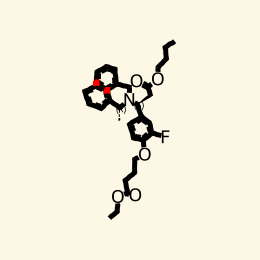 CCCCOC(=O)C[C@@H](c1ccc(OCCCC(=O)OCC)c(F)c1)N(Cc1ccccc1)[C@H](C)c1ccccc1